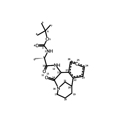 C[C@H](NC(=O)OC(C)(C)C)C(=O)NC1C(=O)N2CCCC(C2)c2ccccc21